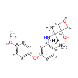 BC(B)(Nc1cc(Oc2ccc(OC(F)(F)F)cc2)ccc1[N+](=O)[O-])C1(O)COC1